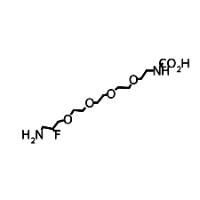 NCC(F)COCCOCCOCCOCCNC(=O)O